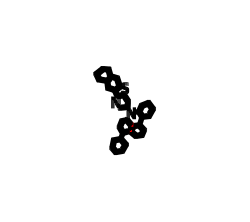 c1ccc(-c2ccc(N(c3cnc4c(c3)sc3cc5ccccc5cc34)c3ccccc3-c3ccccc3)cc2)cc1